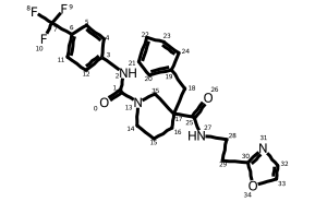 O=C(Nc1ccc(C(F)(F)F)cc1)N1CCCC(Cc2ccccc2)(C(=O)NCCc2ncco2)C1